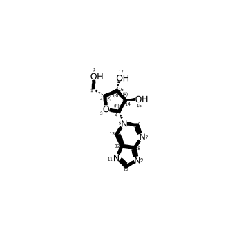 OC[C@H]1O[C@@H](n2cnc3ncnc-3c2)[C@H](O)[C@H]1O